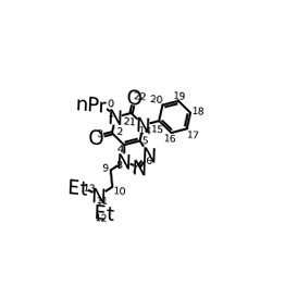 CCCn1c(=O)c2c(nnn2CCN(CC)CC)n(-c2ccccc2)c1=O